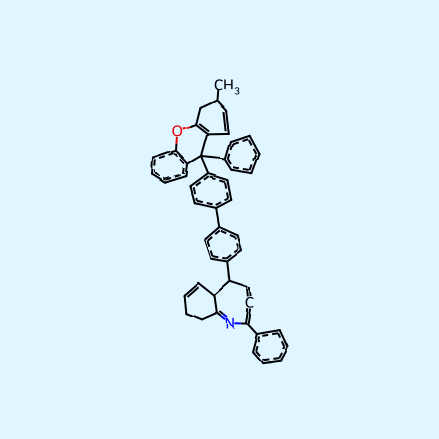 CC1C=CC2=C(C1)Oc1ccccc1C2(c1ccccc1)c1ccc(-c2ccc(C3C=C=C(c4ccccc4)N=C4CCC=CC43)cc2)cc1